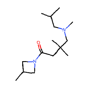 CC(C)CN(C)CC(C)(C)CC(=O)N1CC(C)C1